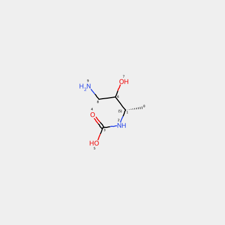 C[C@H](NC(=O)O)C(O)CN